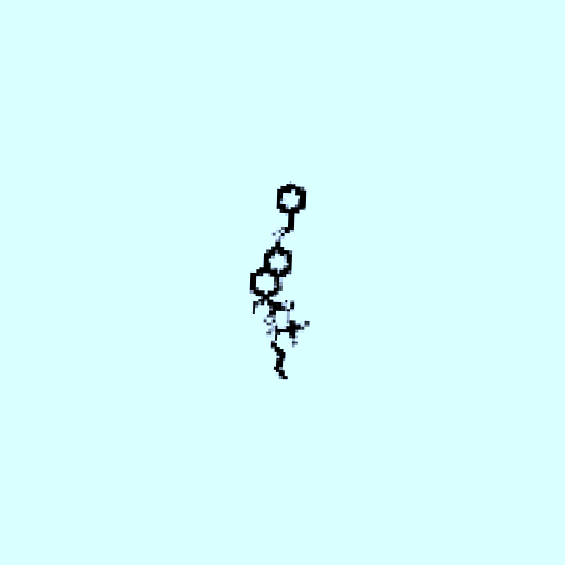 CCCC[C@@H](OC(=O)C1(F)CCc2cc(OCc3ccccc3)ccc2C1)C(F)(F)F